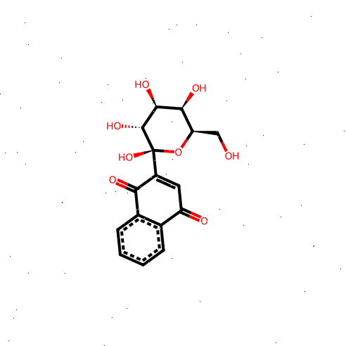 O=C1C=C([C@@]2(O)O[C@H](CO)[C@H](O)[C@H](O)[C@H]2O)C(=O)c2ccccc21